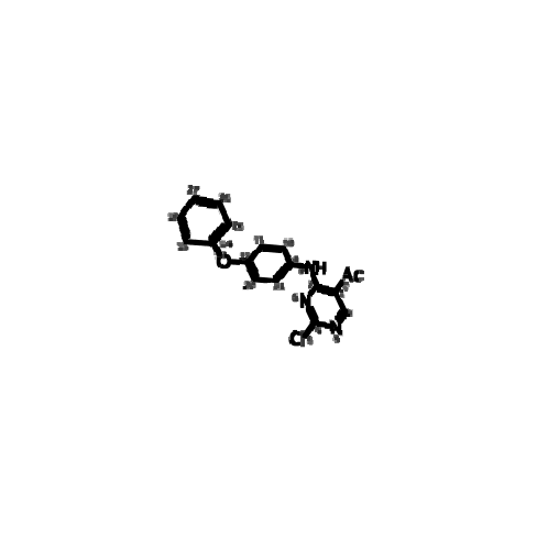 CC(=O)c1cnc(Cl)nc1Nc1ccc(Oc2ccccc2)cc1